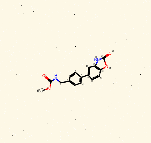 CC(C)(C)OC(=O)NCc1ccc(-c2ccc3oc(=O)[nH]c3c2)cc1